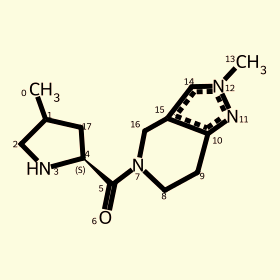 CC1CN[C@H](C(=O)N2CCc3nn(C)cc3C2)C1